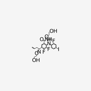 C=CCC(=NOCCO)c1cc(C(=O)NOCCO)c(Nc2ccc(I)cc2F)c(F)c1F